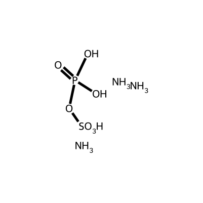 N.N.N.O=P(O)(O)OS(=O)(=O)O